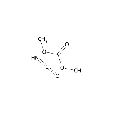 COC(=O)OC.N=C=O